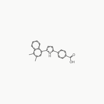 Cc1cc(-c2ccc(-c3ccc(C(=O)O)cc3)[nH]2)c2ccccc2c1C